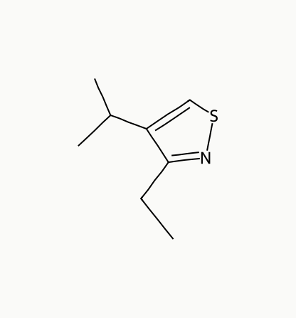 CCc1nscc1C(C)C